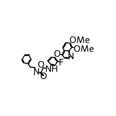 COc1ccc2c(Oc3ccc(NC(=O)C(=O)N(C)CCc4ccccc4)cc3F)ccnc2c1OC